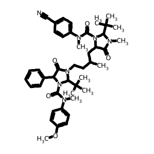 COc1ccc(N(C)C(=O)N2C(c3ccccc3)C(=O)N(CCC(C)CC3C(=O)N(C)C(C(C)(C)C)N3C(=O)N(C)c3ccc(C#N)cc3)C2C(C)(C)C)cc1